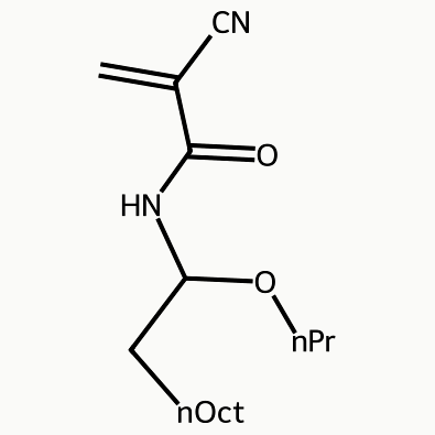 C=C(C#N)C(=O)NC(CCCCCCCCC)OCCC